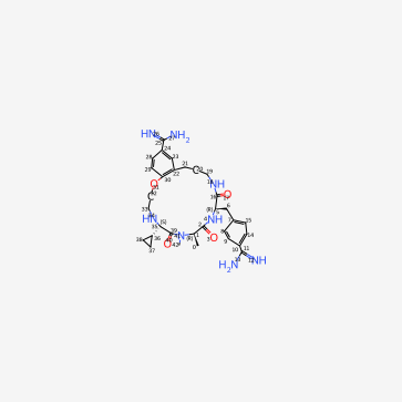 C[C@@H]1C(=O)N[C@H](Cc2ccc(C(=N)N)cc2)C(=O)NCCCc2cc(C(=N)N)ccc2OCCN[C@@H](C2CC2)C(=O)N1C